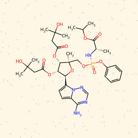 CC(C)OC(=O)[C@H](C)N[P@](=O)(OC[C@@]1(C)O[C@@H](c2ccc3c(N)ncnn23)[C@H](OC(=O)CC(C)(C)O)[C@@H]1OC(=O)CC(C)(C)O)Oc1ccccc1